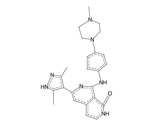 Cc1n[nH]c(C)c1-c1cc2cc[nH]c(=O)c2c(Nc2ccc(N3CCN(C)CC3)cc2)n1